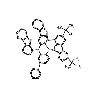 CC(C)(C)c1ccc2c(c1)c1cc(C(C)(C)C)cc3c1n2B1c2ccc(-c4ccccc4)cc2N(c2cccc4c2oc2ccccc24)c2cc4c(oc5ccccc54)c-3c21